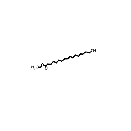 CCCCCCCCC=CCCCCCCCC(=O)OCC